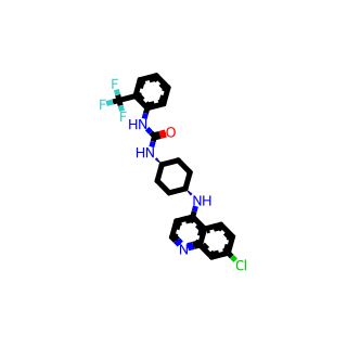 O=C(Nc1ccccc1C(F)(F)F)N[C@H]1CC[C@@H](Nc2ccnc3cc(Cl)ccc23)CC1